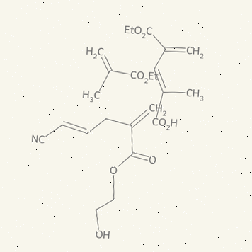 C=C(C)C(=O)OCC.C=C(C=C(C)C(=O)O)C(=O)OCC.C=C(CC=CC#N)C(=O)OCCO